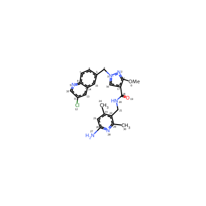 COc1nn(Cc2ccc3ncc(Cl)cc3c2)cc1C(=O)NCc1c(C)cc(N)nc1C